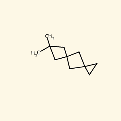 CC1(C)CC2(C1)CC1(CC1)C2